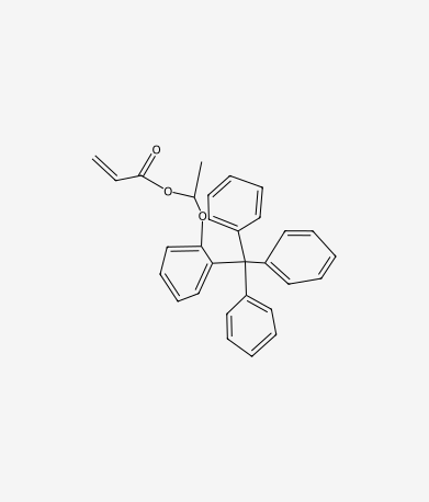 C=CC(=O)OC(C)Oc1ccccc1C(c1ccccc1)(c1ccccc1)c1ccccc1